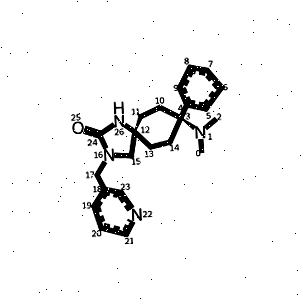 CN(C)[C@]1(c2ccccc2)CC[C@@]2(CC1)CN(Cc1cccnc1)C(=O)N2